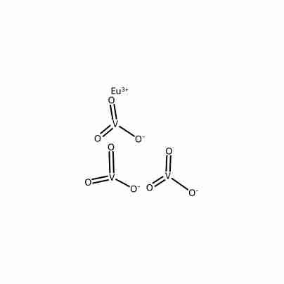 [Eu+3].[O]=[V](=[O])[O-].[O]=[V](=[O])[O-].[O]=[V](=[O])[O-]